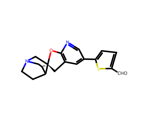 O=Cc1ccc(-c2cnc3c(c2)C[C@@]2(CN4CCC2CC4)O3)s1